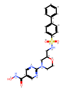 O=C(NO)c1cnc(N2CCOC(CNS(=O)(=O)c3ccc(-c4ccccc4)cc3)C2)nc1